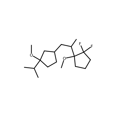 COC1(C(C)C)CCC(CC(C)C2(OC)CCCC2(F)F)C1